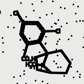 CN1C2CCCC1(c1c(Cl)cc(Cl)cc1C(=O)O)CC2